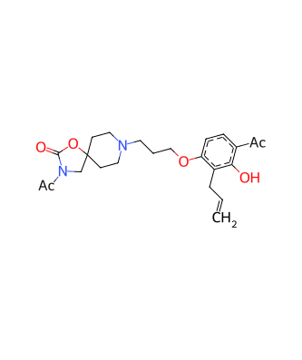 C=CCc1c(OCCCN2CCC3(CC2)CN(C(C)=O)C(=O)O3)ccc(C(C)=O)c1O